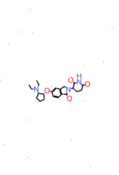 CCN(CC)C1CCC[C@@H]1Oc1ccc2c(c1)CN(C1CCC(=O)NC1=O)C2=O